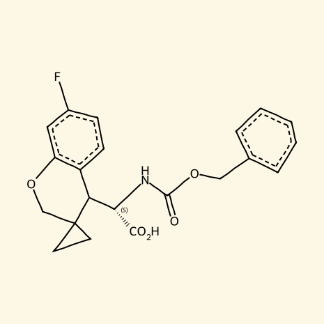 O=C(N[C@H](C(=O)O)C1c2ccc(F)cc2OCC12CC2)OCc1ccccc1